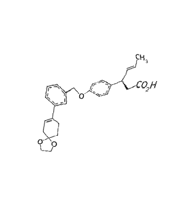 CC=C[C@@H](CC(=O)O)c1ccc(OCc2cccc(C3=CCC4(CC3)OCCO4)c2)cc1